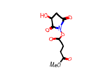 COC(=O)CCC(=O)ON1C(=O)CC(O)C1=O